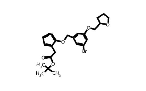 CC(C)(C)OC(=O)Cc1ccccc1OCc1cc(Br)cc(OCC2CCCO2)c1